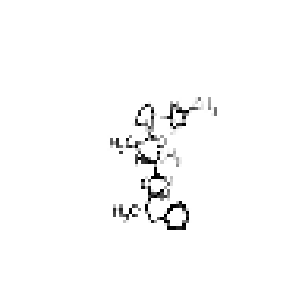 C=C(/N=C(\C)c1nnc([C@@H](C)Cc2ccccc2)o1)C(=O)N1CCC[C@@H]1c1nc(C)cs1